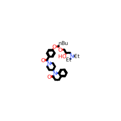 CCCCC(OCC(O)CN(CC)CC)Oc1ccc(C(=O)N2CCC(N3C(=O)CCc4ccccc43)CC2)cc1